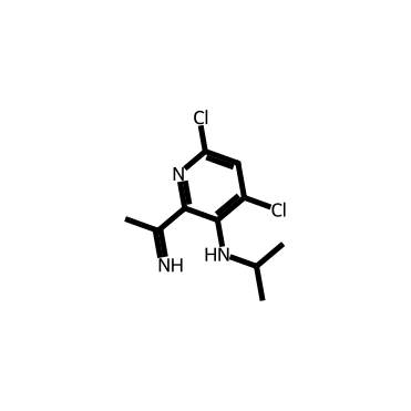 CC(=N)c1nc(Cl)cc(Cl)c1NC(C)C